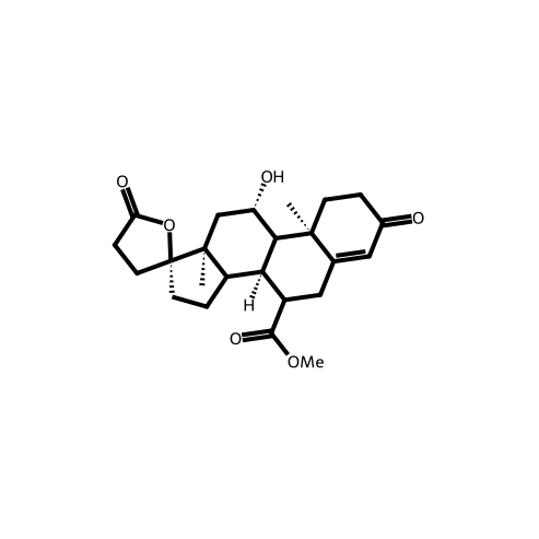 COC(=O)C1CC2=CC(=O)CC[C@]2(C)C2[C@@H]1C1CC[C@@]3(CCC(=O)O3)[C@@]1(C)C[C@@H]2O